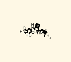 Cc1csc2cc(C(=O)N3C4CCC(CC4)C3C(=O)NC(CC3CCNC3=O)C(=O)CO)[nH]c12